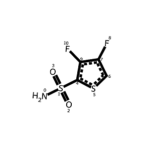 NS(=O)(=O)c1scc(F)c1F